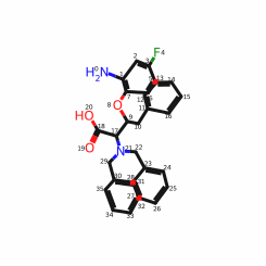 Nc1cc(F)ccc1OC(Cc1ccccc1)C(C(=O)O)N(Cc1ccccc1)Cc1ccccc1